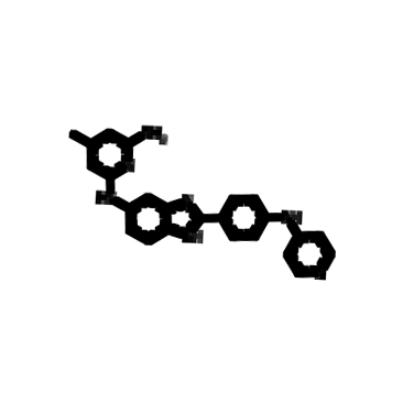 Cc1cc(N)nc(Nc2ccc3[nH]c(-c4ccc(Nc5ccncc5)cc4)nc3c2)c1